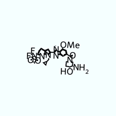 COc1cc(C(=O)N2CC[C@@H](O)[C@@H](N)C2)cc2nc(-c3cc4ccc(N(C(F)F)S(C)(=O)=O)nc4n3CC3CC3)n(C)c12